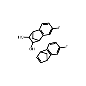 Fc1ccc2c(c1)C1C=CC2C1.OC1C2CC(c3cc(F)ccc32)C1O